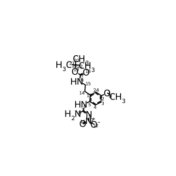 COc1ccc(NC(N)=N[N+](=O)[O-])c(CCNC(=O)OC(C)(C)C)c1